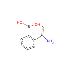 NC(=S)c1ccccc1B(O)O